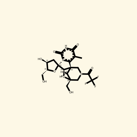 Cc1cn([C@@]2([C@@H]3O[C@@]4(CO)CN(C(=O)C(F)(F)F)C[C@@H]3[C@@H]4O)C[C@H](O)[C@@H](CO)O2)c(=O)[nH]c1=O